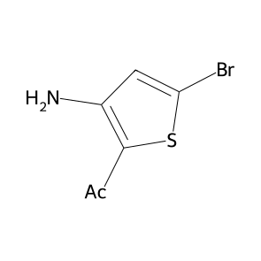 CC(=O)c1sc(Br)cc1N